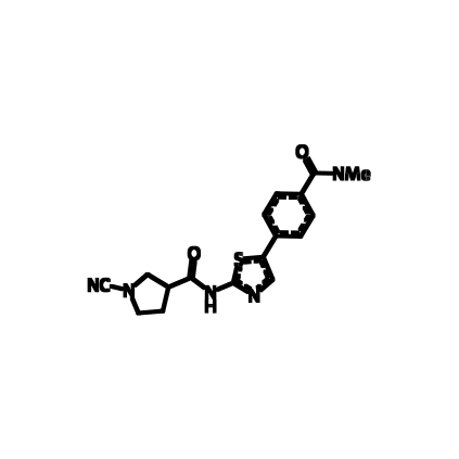 CNC(=O)c1ccc(-c2cnc(NC(=O)C3CCN(C#N)C3)s2)cc1